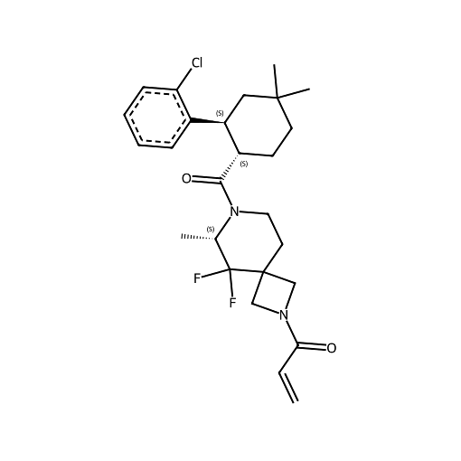 C=CC(=O)N1CC2(CCN(C(=O)[C@H]3CCC(C)(C)C[C@@H]3c3ccccc3Cl)[C@@H](C)C2(F)F)C1